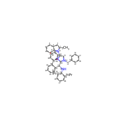 Cc1cc2ccccc2n1-c1cn(Cc2ccccc2)c(C(Nc2c(C(C)C)cccc2C(C)C)c2ccccc2-c2ccccc2)n1